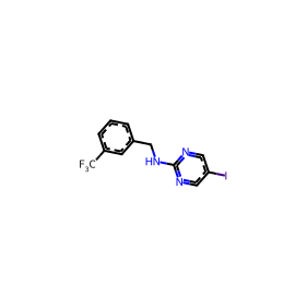 FC(F)(F)c1cccc(CNc2ncc(I)cn2)c1